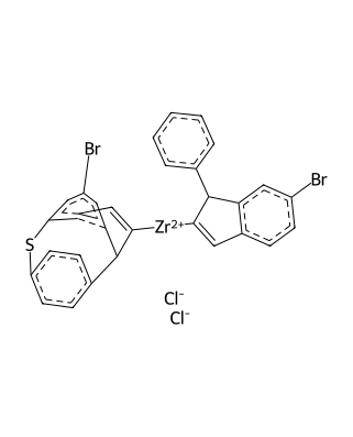 Brc1ccc2c(c1)C(c1ccccc1)[C]([Zr+2][C]1=Cc3c4cc(Br)cc3C1c1ccc(cc1)S4)=C2.[Cl-].[Cl-]